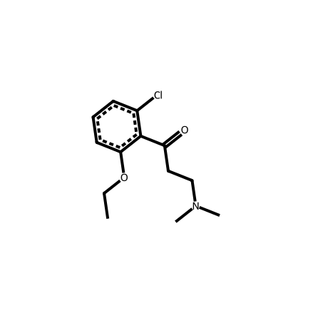 CCOc1cccc(Cl)c1C(=O)CCN(C)C